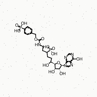 O=C(NCCC(CCC(O)[C@H]1O[C@@H](n2cnc3c(O)ncnc32)[C@H](O)[C@@H]1O)P(=O)(O)O)OCc1ccc(P(=O)(O)O)cc1